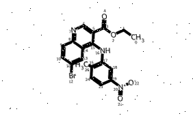 CCOC(=O)c1cnc2ccc(Br)cc2c1Nc1cc([N+](=O)[O-])ccc1C